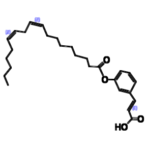 CCCCC/C=C\C/C=C\CCCCCCCC(=O)Oc1cccc(/C=C/C(=O)O)c1